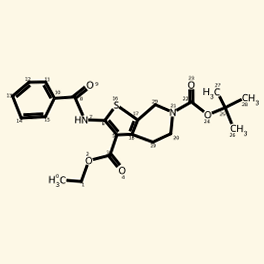 CCOC(=O)c1c(NC(=O)c2ccccc2)sc2c1CCN(C(=O)OC(C)(C)C)C2